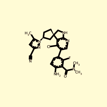 Cc1cc(C#N)nn1[C@H]1CC[C@]2(CNc3ncc(-c4ccc(N)c(C(=O)N(C)C)c4F)c(Cl)c32)C1